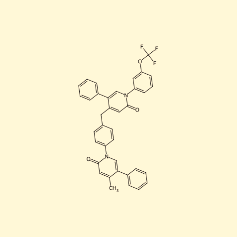 Cc1cc(=O)n(-c2ccc(Cc3cc(=O)n(-c4cccc(OC(F)(F)F)c4)cc3-c3ccccc3)cc2)cc1-c1ccccc1